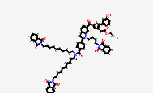 CCOC(=O)Cc1cc(C(=O)c2ccc3cc(-c4ccc(C(=O)N(CCCCCCCCCCN5C(=O)c6ccccc6C5=O)CCCCCCCCCCN5C(=O)c6ccccc6C5=O)cc4)n(CCCCN4C(=O)c5ccccc5C4=O)c3c2)sc1-c1cccc(O)c1